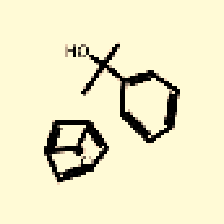 CC(C)(O)c1ccccc1.O=C1c2cccc1c2